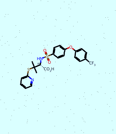 CC(C)(Sc1ccccn1)[C@H](NS(=O)(=O)c1ccc(Oc2ccc(C(F)(F)F)cc2)cc1)C(=O)O